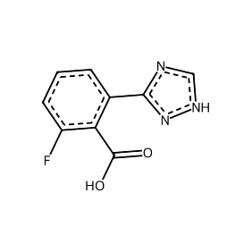 O=C(O)c1c(F)cccc1-c1nc[nH]n1